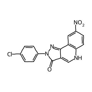 O=c1c2c[nH]c3ccc([N+](=O)[O-])cc3c-2nn1-c1ccc(Cl)cc1